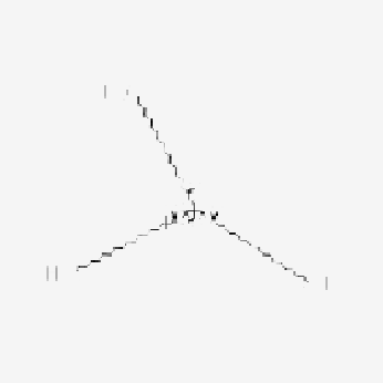 CCCCCCCCCCCCCCCCCC(=O)OCC(CO)(COC(=O)CCCCCCCCCCCCCCCCC)COC(=O)CCCCCCCCCCCCCCCCC